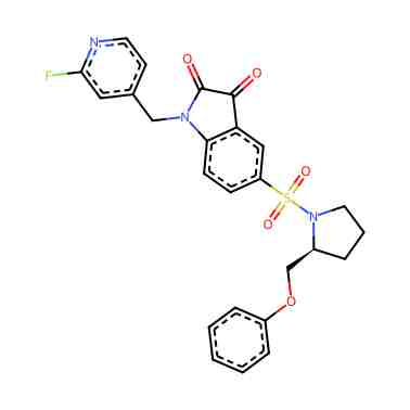 O=C1C(=O)N(Cc2ccnc(F)c2)c2ccc(S(=O)(=O)N3CCC[C@H]3COc3ccccc3)cc21